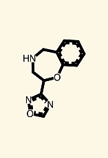 c1ccc2c(c1)CNCC(c1ncon1)O2